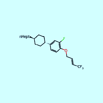 CCCCCCC[C@H]1CC[C@H](c2ccc(OCC=CC(F)(F)F)c(F)c2)CC1